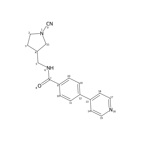 N#CN1CCC(CNC(=O)c2ccc(-c3ccncc3)cc2)C1